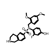 COc1ccc(CN(c2ccc(O)cc2F)S(=O)(=O)c2ccc3c(c2)CCNC3)c(OC)c1